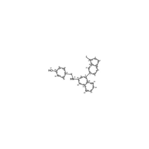 Cn1ccc2ccc(-c3cc(NCc4ccc(O)nc4)cc4nccnc34)cc21